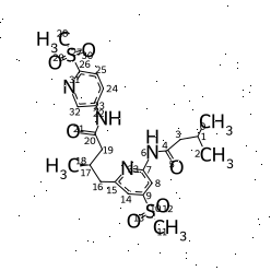 CC(C)CC(=O)Nc1cc(S(C)(=O)=O)cc(C[C@@H](C)CC(=O)Nc2ccc(S(C)(=O)=O)nc2)n1